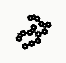 c1ccc(-c2ccc(-c3cccc(-c4cc(-c5cccc(-n6c7ccccc7c7cc(-c8ccc9sc%10ccccc%10c9c8)ccc76)c5)nc(-n5c6ccccc6c6cc(-c7ccc8sc9ccccc9c8c7)ccc65)n4)c3)cc2)cc1